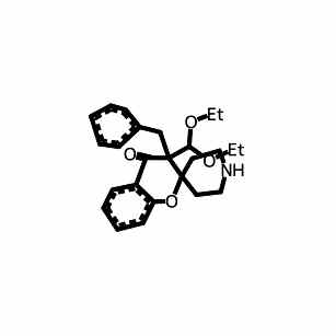 CCOC(OCC)C1(Cc2ccccc2)C(=O)c2ccccc2OC12CCNCC2